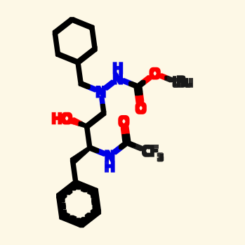 CC(C)(C)OC(=O)NN(CC1CCCCC1)C[C@H](O)[C@H](Cc1ccccc1)NC(=O)C(F)(F)F